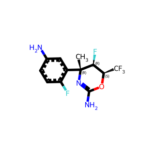 C[C@]1(c2cc(N)ccc2F)N=C(N)O[C@H](C(F)(F)F)[C@@H]1F